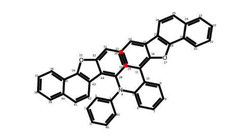 c1ccc(N(c2ccccc2-c2cccc3c2oc2c4ccccc4ccc32)c2cccc3oc4c5ccccc5ccc4c23)cc1